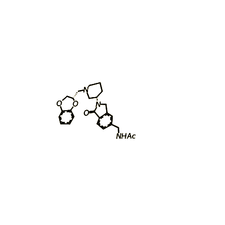 CC(=O)NCc1ccc2c(c1)CN([C@H]1CCCN(C[C@H]3COc4ccccc4O3)C1)C2=O